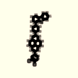 O=C1C(=O)C2C=CC1C=C2c1cc2ccc3cc(-c4ccc(-c5cccc6c5sc5ccccc56)cc4)cc4ccc(c1)c2c34